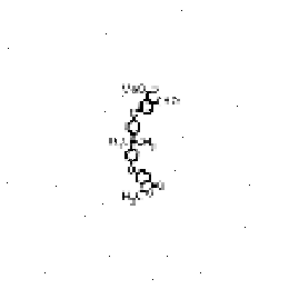 C=C1OC(=O)c2ccc(Oc3ccc(C(C)(C)c4ccc(Oc5ccc(C=O)c(C(=O)OC)c5)cc4)cc3)cc21